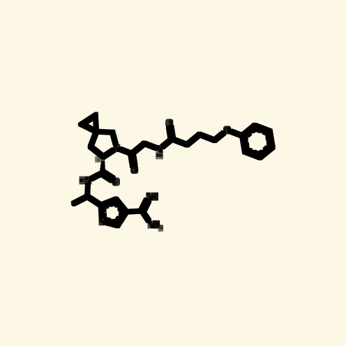 CC(NC(=O)[C@@H]1CC2(CC2)CN1C(=O)CNC(=O)CCCOc1ccccc1)c1cc(C(=N)N)cs1